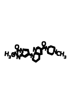 CN1CCN(C(=O)c2cnc3c(c2)CCCN3c2ccn3c(=O)n(C)nc3c2)CC1